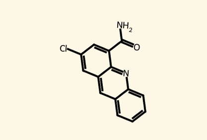 NC(=O)c1cc(Cl)cc2cc3ccccc3nc12